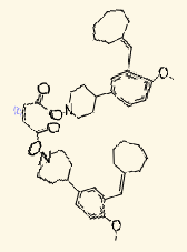 COc1ccc(C2CCN(OC(=O)/C=C\C(=O)ON3CCC(c4ccc(OC)c(C=C5CCCCCC5)c4)CC3)CC2)cc1C=C1CCCCCC1